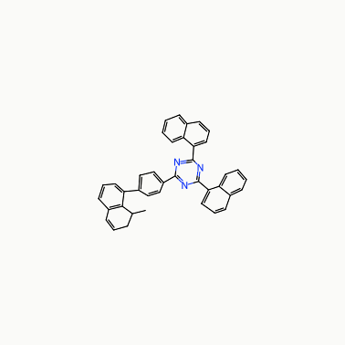 CC1CC=Cc2cccc(-c3ccc(-c4nc(-c5cccc6ccccc56)nc(-c5cccc6ccccc56)n4)cc3)c21